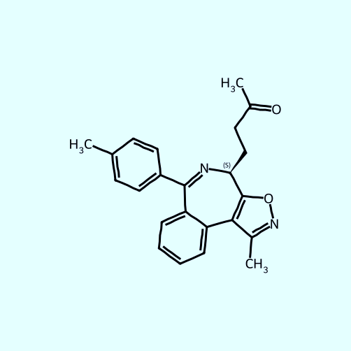 CC(=O)CC[C@@H]1N=C(c2ccc(C)cc2)c2ccccc2-c2c(C)noc21